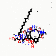 CCCCCCCCCCCCCCCC(=O)N(C)[C@H](CO)C(=O)N[C@H](N)C(=O)NCC(=O)N(C)[C@@H]1C(=O)N[C@@H](C)C(=O)N[C@H](C(=O)N(C)C)Cc2ccc(O)c(c2)-c2cc1ccc2O